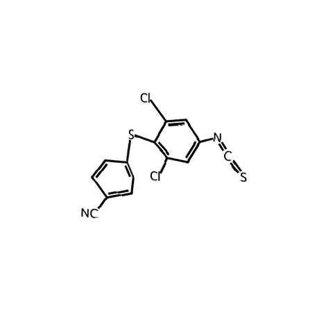 N#Cc1ccc(Sc2c(Cl)cc(N=C=S)cc2Cl)cc1